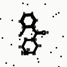 O=C(c1ccccc1F)N1CCNCC1